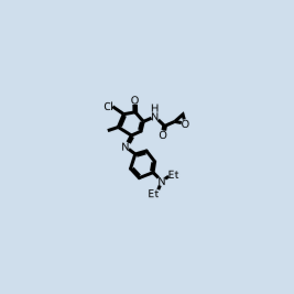 CCN(CC)c1ccc(N=C2C=C(NC(=O)C3CO3)C(=O)C(Cl)=C2C)cc1